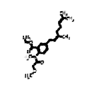 CCOC(=O)c1cc(CC=C(C)CCC=C(C)C)ccc1N(C)C(=O)COC